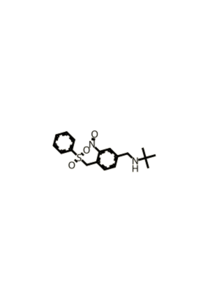 CC(C)(C)NCc1ccc(CS(=O)(=O)c2ccccc2)c(N=O)c1